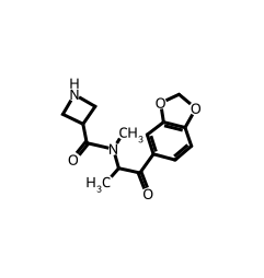 CC(C(=O)c1ccc2c(c1)OCO2)N(C)C(=O)C1CNC1